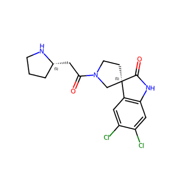 O=C(C[C@@H]1CCCN1)N1CC[C@]2(C1)C(=O)Nc1cc(Cl)c(Cl)cc12